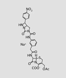 CC(=O)OCC1=C(C(=O)[O-])N2C(=O)C(NC(=O)Cc3cccc(NC(=O)N4CC5C(c6ccc([N+](=O)[O-])cc6)NN5C4=O)c3)[C@@H]2SC1.[Na+]